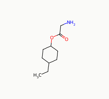 CCC1CCC(OC(=O)CN)CC1